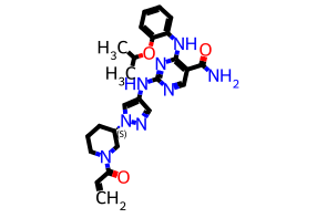 C=CC(=O)N1CCC[C@H](n2cc(Nc3ncc(C(N)=O)c(Nc4ccccc4OC(C)C)n3)cn2)C1